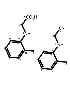 Cc1ccccc1NCC#N.Cc1ccccc1NCC(=O)O